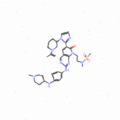 C=C(C)N1CCCC(n2ccnc2-c2cc3cnc(Nc4ccc(NC5CCN(C)CC5)cc4)nc3n(CCN(C)S(C)(=O)=O)c2=O)C1